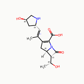 C/C(=C\[C@@H]1C[C@@H](O)CN1)C1=C(C(=O)O)N2C(=O)[C@H]([C@@H](C)O)[C@H]2C1